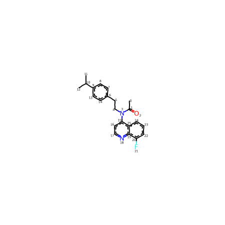 CC(=O)N(CCc1ccc(C(C)C)cc1)c1ccnc2c(F)cccc12